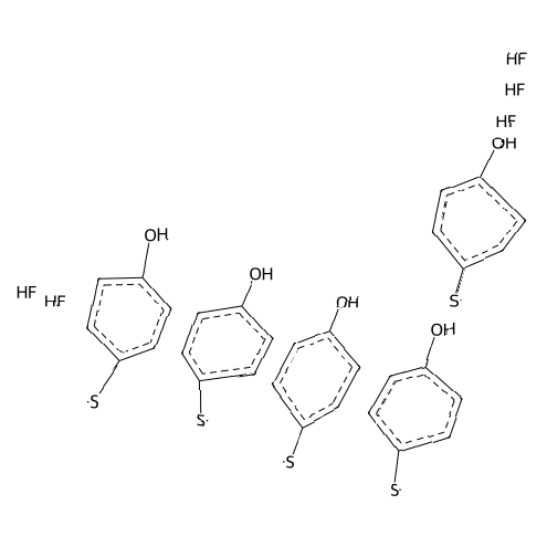 F.F.F.F.F.Oc1ccc([S])cc1.Oc1ccc([S])cc1.Oc1ccc([S])cc1.Oc1ccc([S])cc1.Oc1ccc([S])cc1